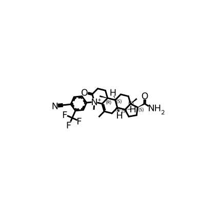 CC1=C2[C@](C)(CCC(=O)[N+]2(C)c2ccc(C#N)c(C(F)(F)F)c2)[C@H]2CC[C@]3(C)[C@@H](C(N)=O)CC[C@H]3[C@@H]2C1